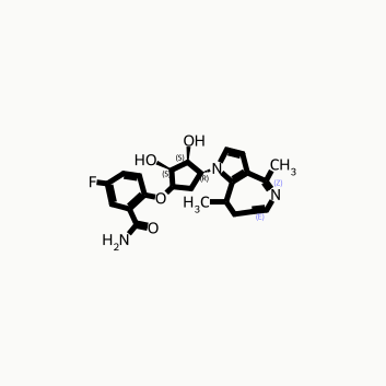 C/C1=N/C=C/CC(C)c2c1ccn2[C@@H]1CC(Oc2ccc(F)cc2C(N)=O)[C@@H](O)[C@H]1O